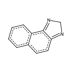 c1ccc2c3c(ccc2c1)=NCN=3